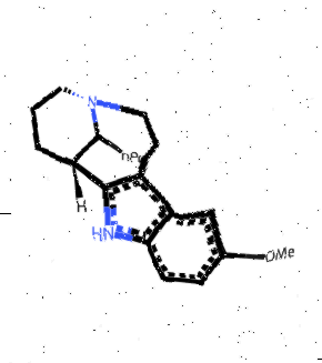 CCCC1[C@H]2CCC[N@]1CCc1c2[nH]c2ccc(OC)cc12